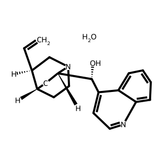 C=C[C@H]1CN2CC[C@H]1C[C@H]2[C@H](O)c1ccnc2ccccc12.O